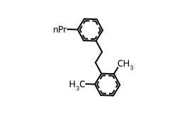 CCCc1cccc(CCc2c(C)cccc2C)c1